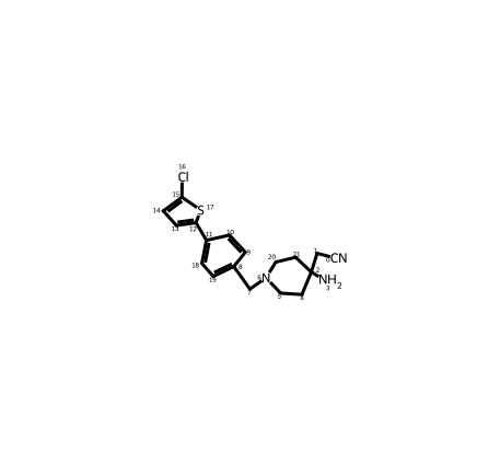 N#CCC1(N)CCN(Cc2ccc(-c3ccc(Cl)s3)cc2)CC1